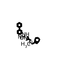 CN(CC1CN(C(=O)Nc2cc(-c3ccccc3)ccc2N)C1)CC12CC3CC(CC1C3)C2